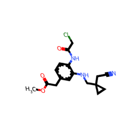 COC(=O)Cc1ccc(NC(=O)CCl)c(NCC2(CC#N)CC2)c1